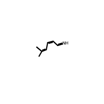 CC(C)=C/C=C\C=N